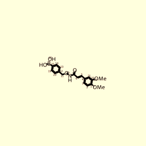 COc1ccc(/C=C/C(=O)NOCc2ccc(B(O)O)cc2)cc1OC